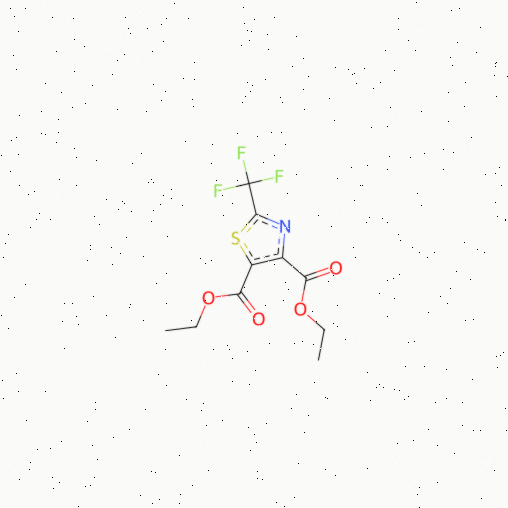 CCOC(=O)c1nc(C(F)(F)F)sc1C(=O)OCC